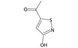 CC(=O)c1cc(O)ns1